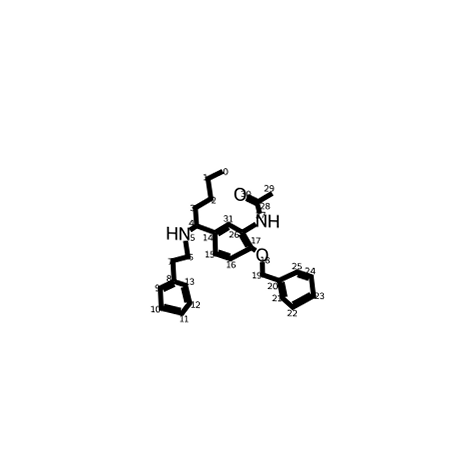 CCCCC(NCCc1ccccc1)c1ccc(OCc2ccccc2)c(NC(C)=O)c1